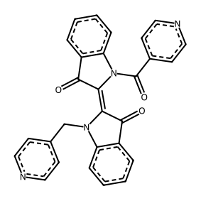 O=C1/C(=C2/C(=O)c3ccccc3N2C(=O)c2ccncc2)N(Cc2ccncc2)c2ccccc21